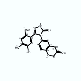 CCc1cc(-c2n[nH]c(=S)n2-c2ccc3c(c2)NC(=O)CO3)c(OC)cc1O